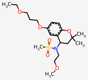 CCOCCCOc1ccc2c(c1)C(N(CCOC)S(C)(=O)=O)CC(C)(C)O2